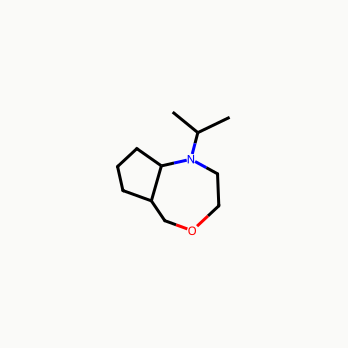 CC(C)N1CCOCC2CCCC21